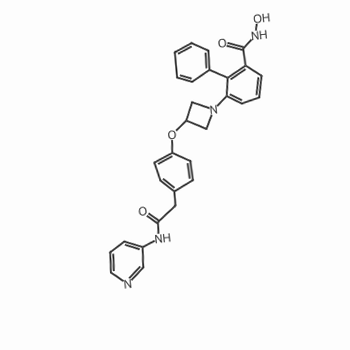 O=C(Cc1ccc(OC2CN(c3cccc(C(=O)NO)c3-c3ccccc3)C2)cc1)Nc1cccnc1